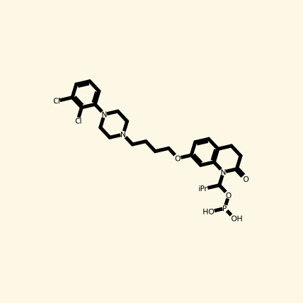 CC(C)C(OP(O)O)N1C(=O)CCc2ccc(OCCCCN3CCN(c4cccc(Cl)c4Cl)CC3)cc21